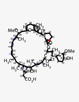 CCO[C@@H]1C[C@@H]([C@H](C)C[C@@H]2CC[C@@H](O)[C@H](OC)C2)OC(=O)[C@@H]2CCCCN2C(=O)C(=O)[C@]2(O)O[C@@H](CC[C@H]2C)C[C@H](OC)/C(C)=C/C=C/C=C/[C@@H](C)C[C@@H](C)/C(=N/OCC(=O)O)[C@H](O)[C@H](O)/C(C)=C/[C@H]1C